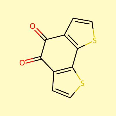 O=C1C(=O)c2ccsc2-c2sccc21